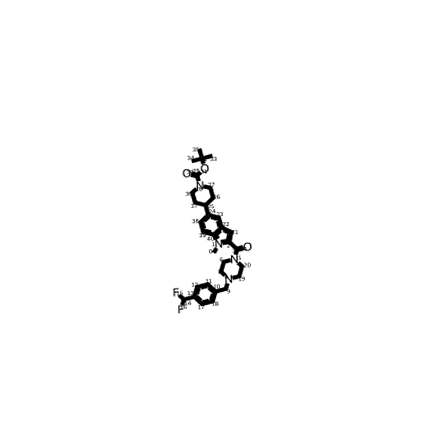 Cn1c(C(=O)N2CCN(Cc3ccc(C(F)F)cc3)CC2)cc2cc(C3CCN(C(=O)OC(C)(C)C)CC3)ccc21